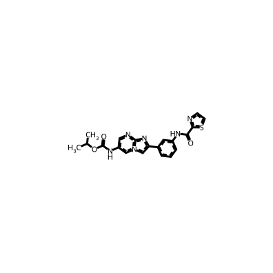 CC(C)OC(=O)Nc1cnc2nc(-c3cccc(NC(=O)c4nccs4)c3)cn2c1